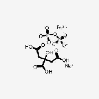 O=C(O)CC(O)(CC(=O)O)C(=O)O.O=P([O-])([O-])OP(=O)([O-])[O-].[Fe+3].[Na+]